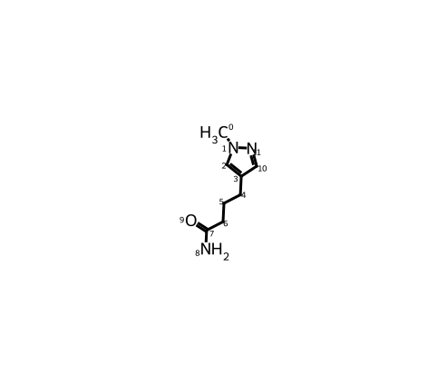 Cn1cc(CCCC(N)=O)cn1